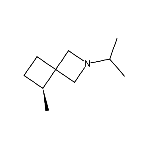 CC(C)N1CC2(CC[C@@H]2C)C1